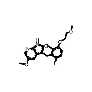 COCCOc1ccc(F)c(Cc2c[nH]c3ncc(OC)cc23)c1Cl